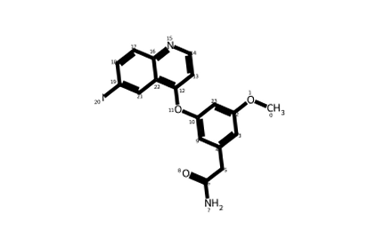 COc1cc(CC(N)=O)cc(Oc2ccnc3ccc(I)cc23)c1